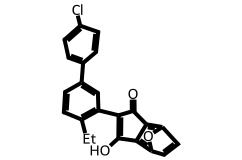 CCc1ccc(-c2ccc(Cl)cc2)cc1C1=C(O)c2c(c3ccc2o3)C1=O